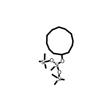 C[Si](C)(C)O[Si](C)(OC1CCCCCCCCCCC1)O[Si](C)(C)C